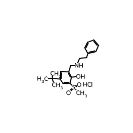 CC(C)(C)c1cc(CNCCc2ccccc2)c(O)c(S(C)(=O)=O)c1.Cl